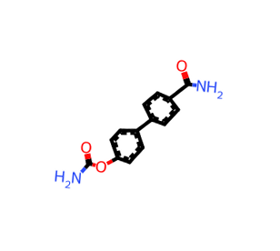 NC(=O)Oc1ccc(-c2ccc(C(N)=O)cc2)cc1